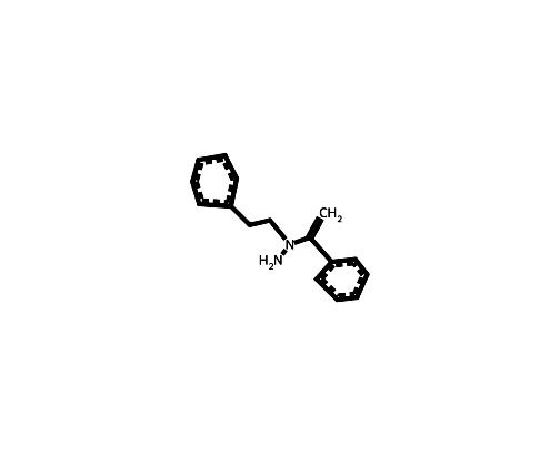 C=C(c1ccccc1)N(N)CCc1ccccc1